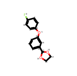 Fc1ccc(Oc2cccc(C3OCCO3)c2)cc1